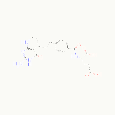 Nc1nc2c(c(=O)[nH]1)C(CCc1ccc(C(=O)NC(CCC(=O)O)C(=O)O)cc1)CCN2